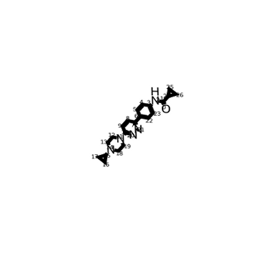 O=C(Nc1ccc(-c2ccc(N3CCN(C4CC4)CC3)nn2)cc1)C1CC1